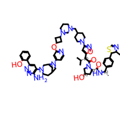 CC1N=CSC1c1ccc([C@H](C)NC(=O)[C@@H]2C[C@@H](O)CN2C(=O)[C@@H](c2cc(N3CCC(CN4CCCN(C5CC(Oc6cc(N7CC8CCN(c9cc(-c%10ccccc%10O)nnc9N)CC7C8)ccn6)C5)C4)CC3)no2)C(C)C)cc1